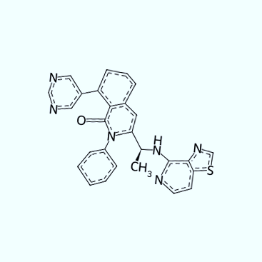 C[C@H](Nc1nccc2scnc12)c1cc2cccc(-c3cncnc3)c2c(=O)n1-c1ccccc1